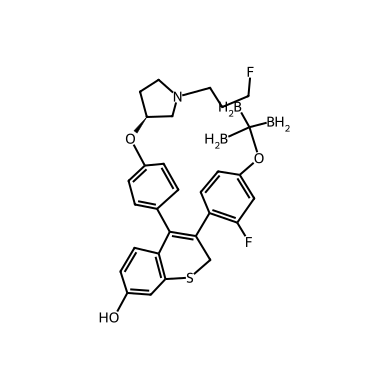 BC(B)(B)Oc1ccc(C2=C(c3ccc(O[C@H]4CCN(CCCF)C4)cc3)c3ccc(O)cc3SC2)c(F)c1